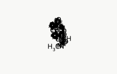 Cc1cccc(C2(C(=O)N3CCC(Oc4cc(-c5c(C)cccc5C)nc(NS(=O)(=O)c5cnn(C)c5)n4)C3)CCOCC2)c1